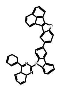 C1=CCCC(C2=NC(n3c4ccccc4c4cc(-c5ccc6oc7c(c6c5)-c5cccc6cccc-7c56)ccc43)=NC3C=CC=CC23)=C1